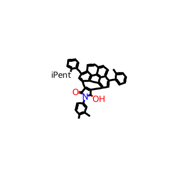 CCCC(C)c1ccccc1-c1cc2c3c(c4cc(-c5ccccc5C)c5ccc6ccc1c1c6c5c4c21)C(O)N(c1ccc(C)c(C)c1)C3=O